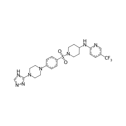 O=S(=O)(c1ccc(N2CCN(c3nnc[nH]3)CC2)cc1)N1CCC(Nc2ccc(C(F)(F)F)cn2)CC1